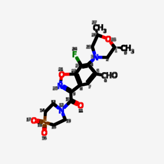 C[C@@H]1CN(c2c(C=O)cc3c(C(=O)N4CCS(=O)(=O)CC4)noc3c2F)C[C@H](C)O1